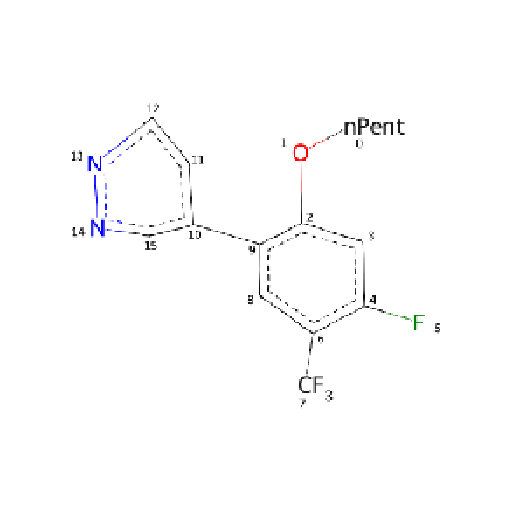 CCCCCOc1cc(F)c(C(F)(F)F)cc1-c1ccnnc1